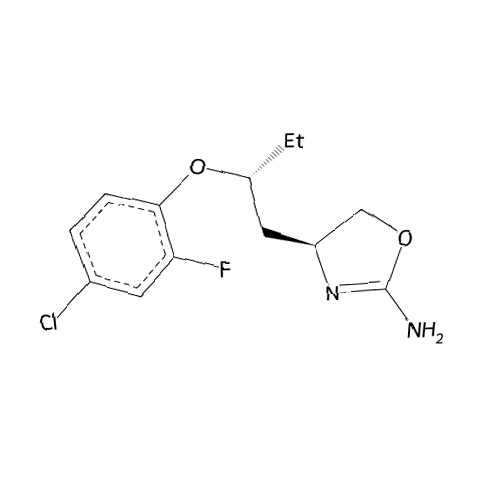 CC[C@H](C[C@H]1COC(N)=N1)Oc1ccc(Cl)cc1F